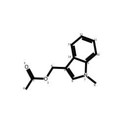 CC(=O)OCc1cn(C)c2ccccc12